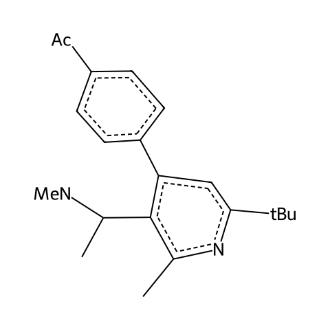 CNC(C)c1c(-c2ccc(C(C)=O)cc2)cc(C(C)(C)C)nc1C